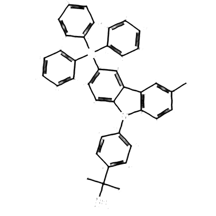 Cc1ccc2c(c1)c1cc(S(c3ccccc3)(c3ccccc3)c3ccccc3)ccc1n2-c1ccc(C(C)(C)N)cc1